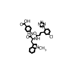 Cn1cc(CC(NC(=O)/C=C/c2cc(Cl)ccc2-n2cnnn2)C(=O)Nc2ccc(C(=O)O)cc2)c2ccccc21